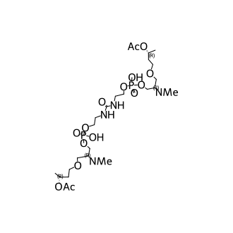 CN[C@H](COCC[C@@H](C)OC(C)=O)COP(=O)(O)OCCNC(=O)NCCOP(=O)(O)OC[C@@H](COCC[C@@H](C)OC(C)=O)NC